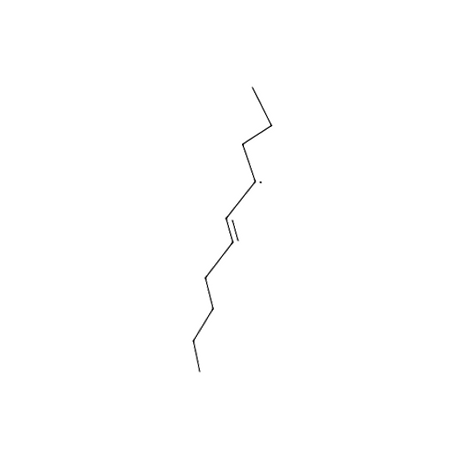 CCC[CH]C=CCCCC